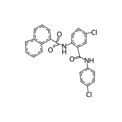 O=C(Nc1ccc(Cl)cc1)c1cc(Cl)ccc1NS(=O)(=O)c1cccc2ccccc12